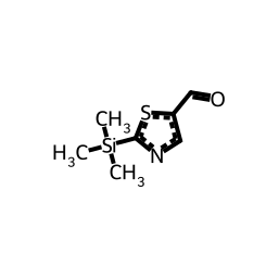 C[Si](C)(C)c1ncc(C=O)s1